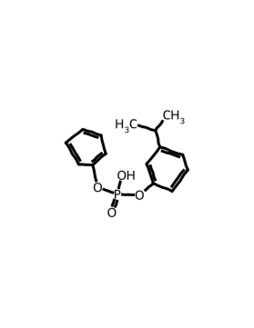 CC(C)c1cccc(OP(=O)(O)Oc2ccccc2)c1